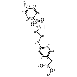 COC(=O)Cc1ccc(SCCNS(=O)(=O)c2ccc(F)cc2)cc1